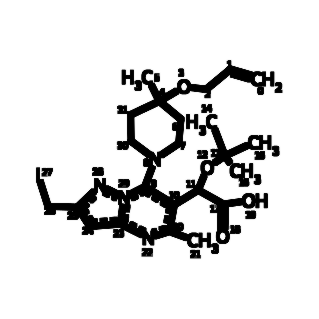 C=CCOC1(C)CCN(c2c(C(OC(C)(C)C)C(=O)O)c(C)nc3cc(CI)nn23)CC1